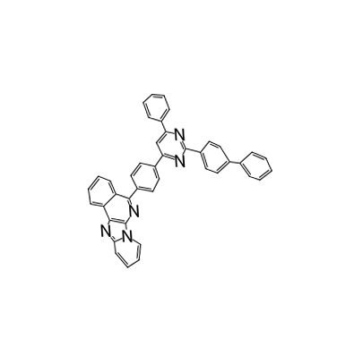 c1ccc(-c2ccc(-c3nc(-c4ccccc4)cc(-c4ccc(-c5nc6c(nc7ccccn76)c6ccccc56)cc4)n3)cc2)cc1